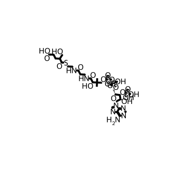 CC(C)(COP(=O)(O)OP(=O)(O)OC[C@H]1O[C@@H](n2cnc3c(N)ncnc32)[C@H](O)[C@@H]1OP(=O)(O)O)[C@@H](O)C(=O)NCCC(=O)NCCSC(=O)C(CO)CCC(=O)O